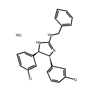 Cl.Clc1cccc([C@H]2NC(NCc3ccccc3)=N[C@H]2c2cccc(Cl)c2)c1